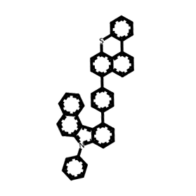 c1ccc(-n2c3cccc(-c4ccc(-c5ccc6c7c(cccc57)-c5ccccc5S6)cc4)c3c3c4ccccc4ccc32)cc1